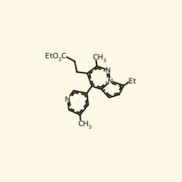 CCOC(=O)CCc1c(C)nn2c(CC)ccc2c1-c1cncc(C)c1